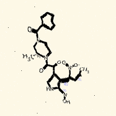 C\C=C/C(=C1/C(C(=O)C(=O)N2CCN(C(=O)c3ccccc3)C[C@H]2C)=CN/C1=N\O)[N+](=O)[O-]